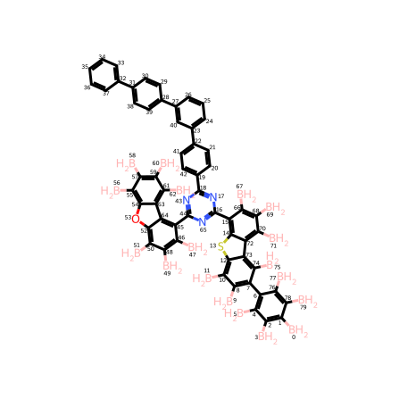 Bc1c(B)c(B)c(-c2c(B)c(B)c3sc4c(-c5nc(-c6ccc(-c7cccc(-c8ccc(-c9ccccc9)cc8)c7)cc6)nc(-c6c(B)c(B)c(B)c7oc8c(B)c(B)c(B)c(B)c8c67)n5)c(B)c(B)c(B)c4c3c2B)c(B)c1B